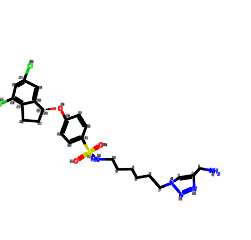 NCc1cn(CCCCCCNS(=O)(=O)c2ccc(O[C@@H]3CCc4c(Cl)cc(Cl)cc43)cc2)nn1